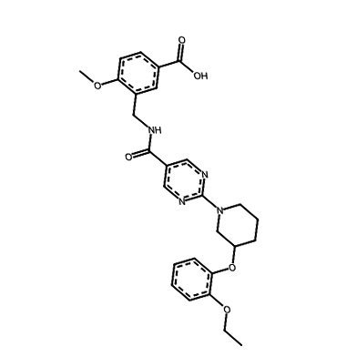 CCOc1ccccc1OC1CCCN(c2ncc(C(=O)NCc3cc(C(=O)O)ccc3OC)cn2)C1